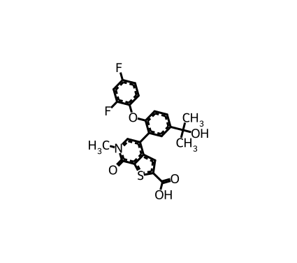 Cn1cc(-c2cc(C(C)(C)O)ccc2Oc2ccc(F)cc2F)c2cc(C(=O)O)sc2c1=O